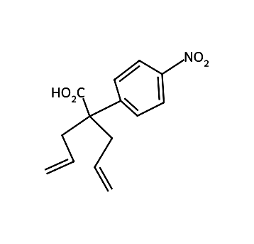 C=CCC(CC=C)(C(=O)O)c1ccc([N+](=O)[O-])cc1